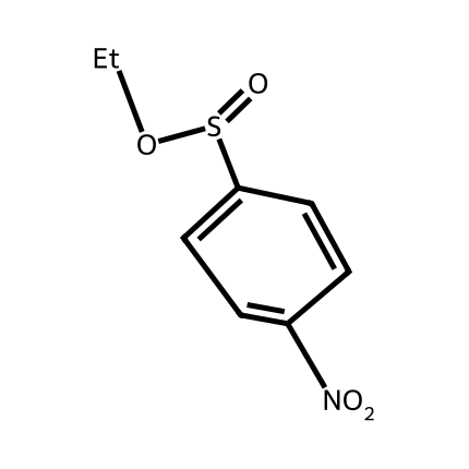 CCOS(=O)c1ccc([N+](=O)[O-])cc1